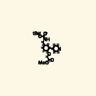 COC(=O)COc1ccc(CNC(=O)OC(C)(C)C)cc1-c1ccncc1